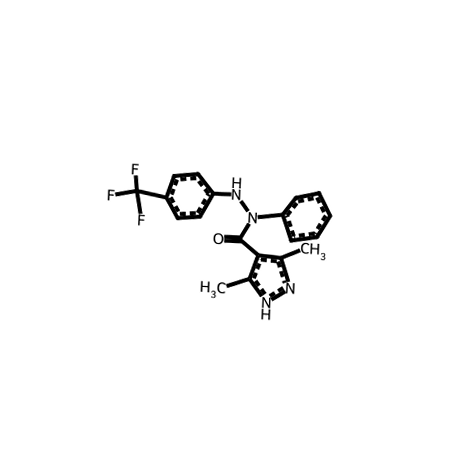 Cc1n[nH]c(C)c1C(=O)N(Nc1ccc(C(F)(F)F)cc1)c1ccccc1